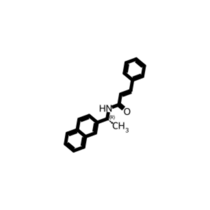 C[C@@H](NC(=O)C=Cc1ccccc1)c1ccc2ccccc2c1